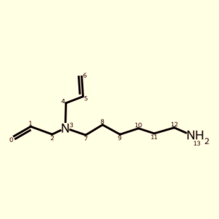 C=CCN(CC=C)CCCCCCN